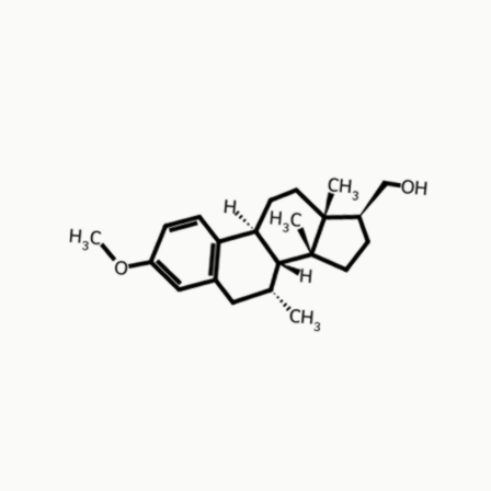 COc1ccc2c(c1)C[C@@H](C)[C@@H]1[C@@H]2CC[C@]2(C)[C@@H](CO)CC[C@]12C